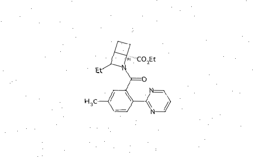 CCOC(=O)[C@@]12CCC1C(CC)N2C(=O)c1cc(C)ccc1-c1ncccn1